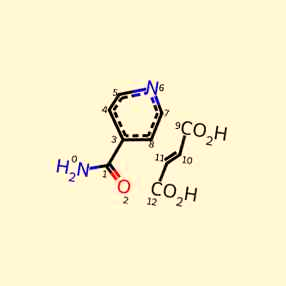 NC(=O)c1ccncc1.O=C(O)/C=C/C(=O)O